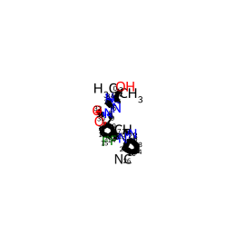 CC(C)(O)c1cnc(N2C[C@@]3(CCC(F)(F)[C@](C)(Cn4cnc5ccc(C#N)cc54)C3)OC2=O)cn1